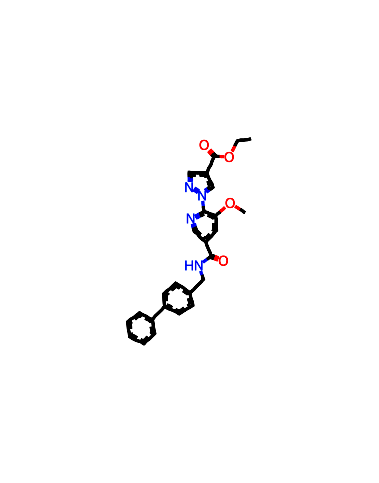 CCOC(=O)c1cnn(-c2ncc(C(=O)NCc3ccc(-c4ccccc4)cc3)cc2OC)c1